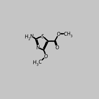 COC(=O)c1sc(N)nc1OC